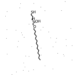 CCCCCCCCCCCCCCOC[SiH](O)CCCS